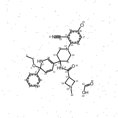 CCOC1(c2cccnc2)C=CC(C2(NC(=O)C3CN(C)C3)CCN(c3ccc(Cl)cc3C#N)CC2)=CN1.O=CO